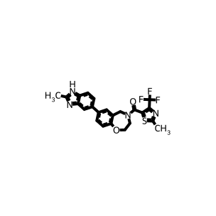 Cc1nc2cc(-c3ccc4c(c3)CN(C(=O)c3sc(C)nc3C(F)(F)F)CCO4)ccc2[nH]1